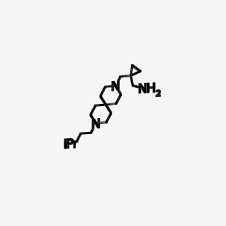 CC(C)CCN1CCC2(CC1)CCN(CC1(CN)CC1)CC2